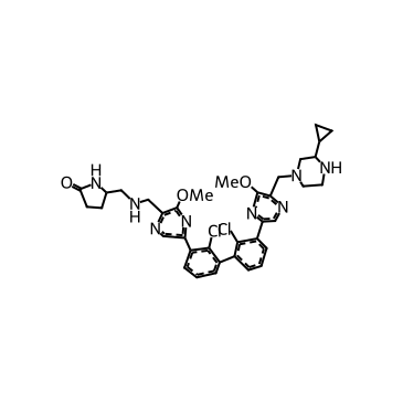 COc1nc(-c2cccc(-c3cccc(-c4cnc(CN5CCNC(C6CC6)C5)c(OC)n4)c3Cl)c2Cl)cnc1CNCC1CCC(=O)N1